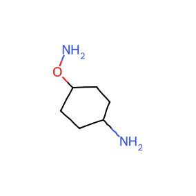 NOC1CCC(N)CC1